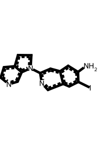 Nc1cc2cc(-n3ccc4ccncc43)ncc2cc1I